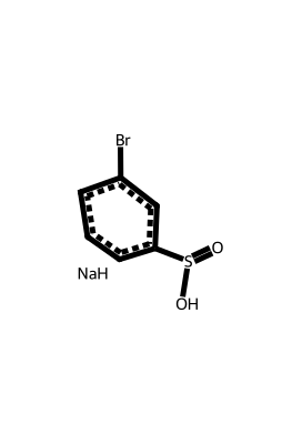 O=S(O)c1cccc(Br)c1.[NaH]